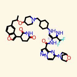 CC(Cc1ccc2occ(C3CCC(=O)NC3=O)c2c1)OC1CCN(CC2CCC(N/C=C(/NC(=O)c3cnn4ccc(N5CC6CC5CO6)nc34)C(=N)C(F)F)CC2)CC1